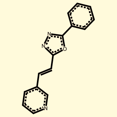 C(=Cc1nnc(-c2ccccc2)o1)c1cccnc1